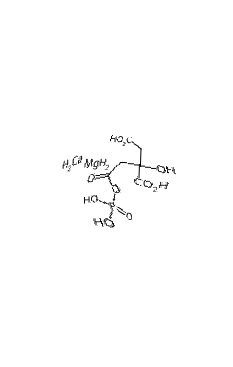 O=C(O)CC(O)(CC(=O)OP(=O)(O)O)C(=O)O.[CaH2].[MgH2]